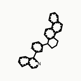 [c]1ccc(C2CCCc3c2ccc2c3ccc3ccccc32)cc1-c1nccc2ccccc12